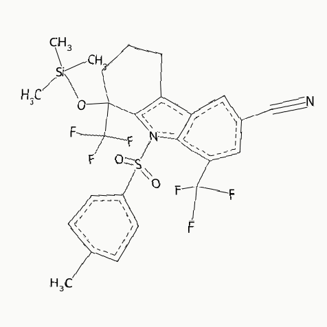 Cc1ccc(S(=O)(=O)n2c3c(c4cc(C#N)cc(C(F)(F)F)c42)CCCC3(O[Si](C)(C)C)C(F)(F)F)cc1